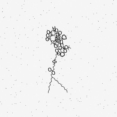 CCCCCCCCCCC(CCCCCCCC)COC(=O)CCCSSCCCC(=O)O[C@H](C(=O)O[C@@H]1C[C@]2(O)[C@H](OC(=O)c3ccccc3)C3C4(OC(C)=O)CO[C@H]4C[C@@H](OC)[C@]3(C)C(=O)[C@@H](OC)C(=C1C)C2(C)C)C(NC(=O)OC(C)(C)C)c1ccccc1